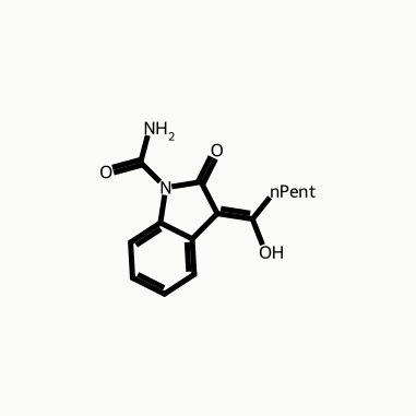 CCCCCC(O)=C1C(=O)N(C(N)=O)c2ccccc21